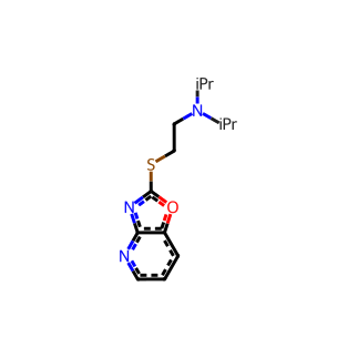 CC(C)N(CCSc1nc2ncccc2o1)C(C)C